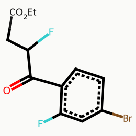 CCOC(=O)CC(F)C(=O)c1ccc(Br)cc1F